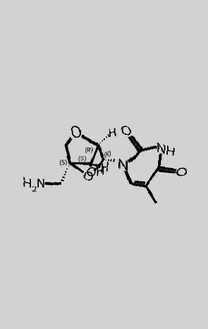 Cc1cn([C@@H]2O[C@@]3(CN)CO[C@@H]2[C@@H]3O)c(=O)[nH]c1=O